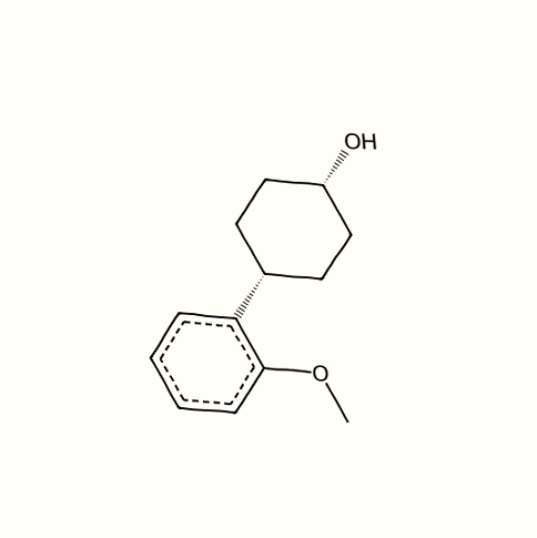 COc1ccccc1[C@H]1CC[C@@H](O)CC1